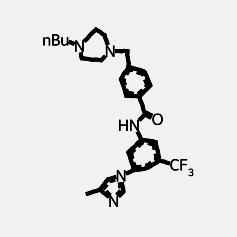 CCCCN1CCN(Cc2ccc(C(=O)Nc3cc(-n4cnc(C)c4)cc(C(F)(F)F)c3)cc2)CC1